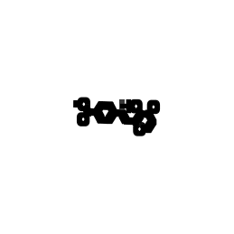 COC(=O)c1ccc(/C=C/c2occc(=O)c2O)cc1